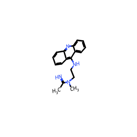 CC(=N)N(C)CCNc1c2ccccc2nc2ccccc12